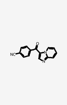 N#Cc1ccc(C(=O)c2cnc3ccccn23)cc1